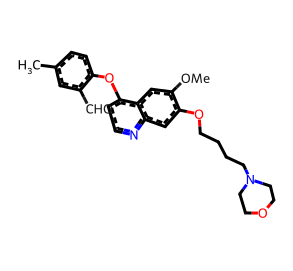 COc1cc2c(Oc3ccc(C)cc3C=O)ccnc2cc1OCCCCN1CCOCC1